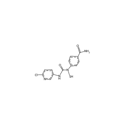 NC(=O)c1ccc(N(S)C(=O)Nc2ccc(Cl)nc2)cc1